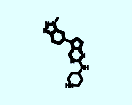 Cn1nnc2ccc(-c3ccn4nc(NC5CCNCC5)ncc34)cc21